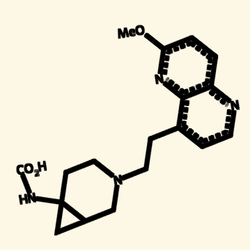 COc1ccc2nccc(CCN3CCC4(NC(=O)O)CC4C3)c2n1